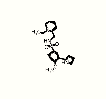 CCN1CC=CC=C1CNS(=O)(=O)c1ccc(OC)c(-c2ccc[nH]2)c1